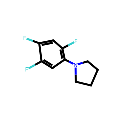 Fc1cc(F)c(N2CCCC2)cc1F